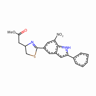 COC(=O)CC1CSC(c2cc([N+](=O)[O-])c3[nH]c(-c4ccccc4)cc3c2)=N1